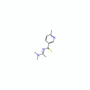 C/C(=N\C(=S)c1ccc(C)nc1)N(C)C